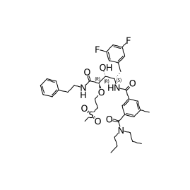 CCCN(CCC)C(=O)c1cc(C)cc(C(=O)N[C@@H](Cc2cc(F)cc(F)c2)[C@@H](O)[C@@H](OCCS(C)(=O)=O)C(=O)NCCc2ccccc2)c1